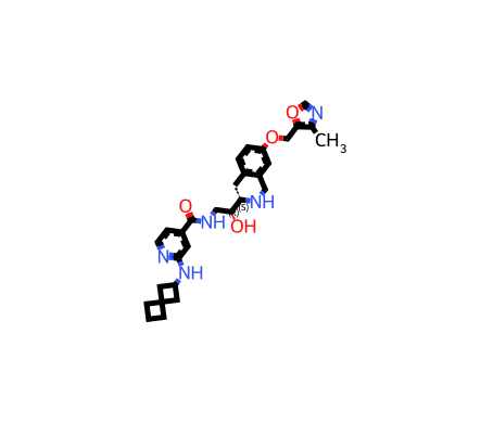 Cc1ncoc1COc1ccc2c(c1)CN[C@H]([C@H](O)CNC(=O)c1ccnc(NC3CC4(CCC4)C3)c1)C2